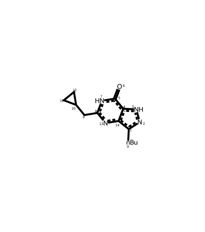 CCCCc1n[nH]c2c(=O)[nH]c(CC3CC3)nc12